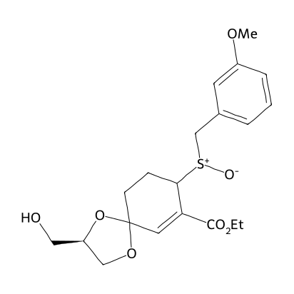 CCOC(=O)C1=CC2(CCC1[S+]([O-])Cc1cccc(OC)c1)OC[C@@H](CO)O2